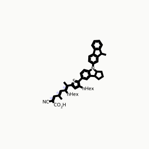 CCCCCCC(/C=C(C)/C=C(/C#N)C(=O)O)=C(/C)c1cc(CCCCCC)c(-c2ccc3c(c2)C2CCCC2N3c2ccc3c(c2)C(C)c2ccccc2-3)s1